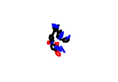 Cn1ncc(-c2ccc3c(c2)CN(C2CCC(=O)NC2=O)C3=O)c1-c1cnn(Cc2cccnc2)c1